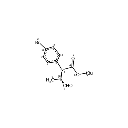 C[C@H](C=O)N(C(=O)OC(C)(C)C)c1ccc(Br)cc1